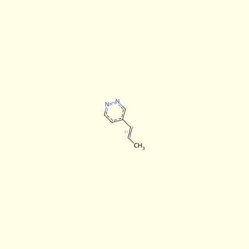 C/C=[C]/c1ccnnc1